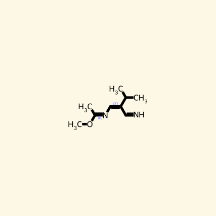 CO/C(C)=N/C=C(\C=N)C(C)C